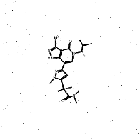 CC(C)[C@H](C)n1cc(-c2cc(C(C)(C)C(=O)N(C)C)n(C)n2)c2[nH]nc(N)c2c1=O